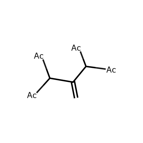 C=C(C(C(C)=O)C(C)=O)C(C(C)=O)C(C)=O